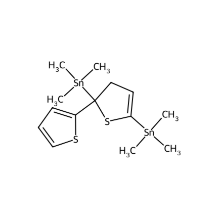 [CH3][Sn]([CH3])([CH3])[C]1=CC[C](c2cccs2)([Sn]([CH3])([CH3])[CH3])S1